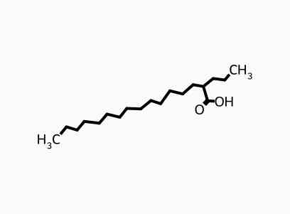 CCCCCCCCCCCCCCC(CCC)C(=O)O